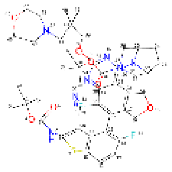 CC(C)(C)OC(=O)Nc1sc2ccc(F)c(-c3c4c(c5c(N6C7CCC6CN(C(=O)OC(C)(C)C)C7)nc(OCC6(CN7CCOCC7)CC6)nc5c3F)COC4)c2c1C#N